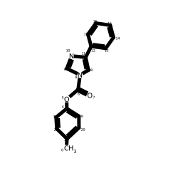 Cc1ccc(OC(=O)n2cnc(-c3ccccc3)c2)cc1